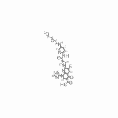 COCCOCCN(C)c1ccc(NC(=O)C2CN(c3nc4c(cc3F)c(=O)c(C(=O)O)cn4-c3ncns3)C2)nc1